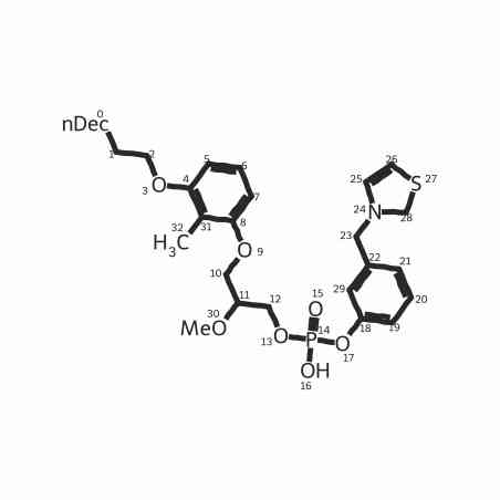 CCCCCCCCCCCCOc1cccc(OCC(COP(=O)(O)Oc2cccc(CN3C=CSC3)c2)OC)c1C